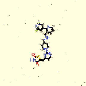 O=C1NC(=O)C(=Cc2ccnc(N3CCC(CNCc4cccnc4-c4cc(F)nc(F)c4)CC3)n2)S1